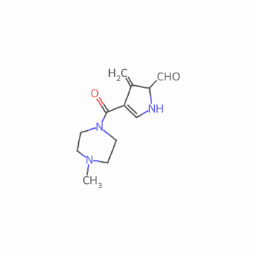 C=C1C(C(=O)N2CCN(C)CC2)=CNC1C=O